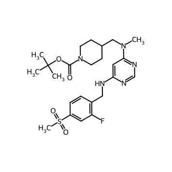 CN(CC1CCN(C(=O)OC(C)(C)C)CC1)c1cc(NCc2ccc(S(C)(=O)=O)cc2F)ncn1